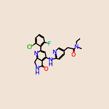 CCN(C)C(=O)Cc1ccc(Nc2cc(-c3c(F)cccc3Cl)nc3c2C(=O)NC3)nc1